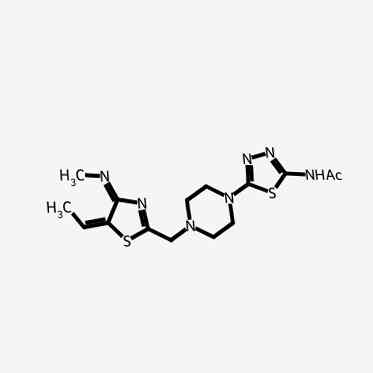 C/C=C1/SC(CN2CCN(c3nnc(NC(C)=O)s3)CC2)=N/C1=N/C